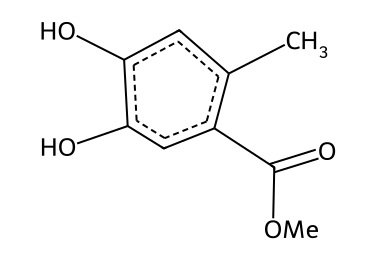 COC(=O)c1cc(O)c(O)cc1C